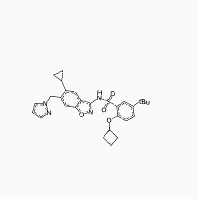 CC(C)(C)c1ccc(OC2CCC2)c(S(=O)(=O)Nc2noc3cc(Cn4cccn4)c(C4CC4)cc23)c1